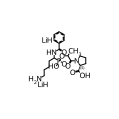 CC(OP(=O)(O)C(CCCCN)NC(=O)c1ccccc1)C(=O)N1CCC[C@H]1C(=O)O.[LiH].[LiH]